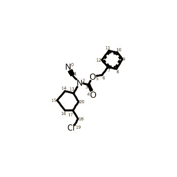 N#CN(C(=O)OCc1ccccc1)C1CCCC(CCl)C1